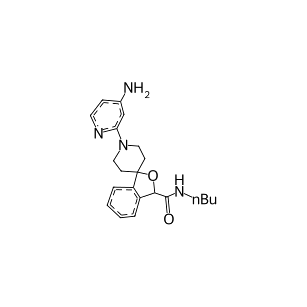 CCCCNC(=O)C1OC2(CCN(c3cc(N)ccn3)CC2)c2ccccc21